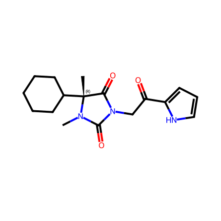 CN1C(=O)N(CC(=O)c2ccc[nH]2)C(=O)[C@@]1(C)C1CCCCC1